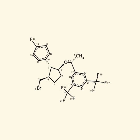 C[C@@H](O[C@H]1CC[C@@H](CBr)[C@@H]1c1ccc(F)cc1)c1cc(C(F)(F)F)cc(C(F)(F)F)c1